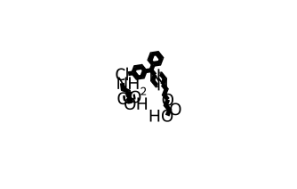 NCCS(=O)(=O)O.O=C(O)COCCN1CCN(C(c2ccccc2)c2ccc(Cl)cc2)CC1